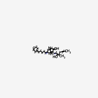 CC#CCC(C)[C@H](O)/C=C/[C@@H]1[C@H]2C/C(=C/CCCCN3CCOCC3)C[C@H]2C[C@H]1O